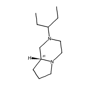 CCC(CC)N1CCN2CCC[C@@H]2C1